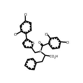 O=C(O)C(Cc1ccccc1)N(Cc1ccc(-c2ccc(Cl)cc2Cl)s1)C(=O)c1ccc(Cl)cc1Cl